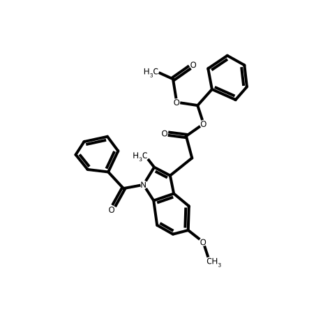 COc1ccc2c(c1)c(CC(=O)OC(OC(C)=O)c1ccccc1)c(C)n2C(=O)c1ccccc1